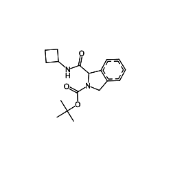 CC(C)(C)OC(=O)N1Cc2ccccc2C1C(=O)NC1CCC1